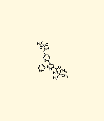 CC(C)(C)NC(=O)c1cc(-c2ccc(CNS(C)(=O)=O)cn2)n(-c2cccnc2)n1